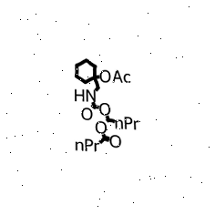 CCCC(=O)OC(CCC)OC(=O)NCC1(OC(C)=O)CCCCC1